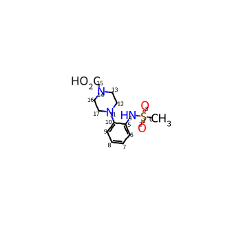 CS(=O)(=O)Nc1ccccc1N1CCN(C(=O)O)CC1